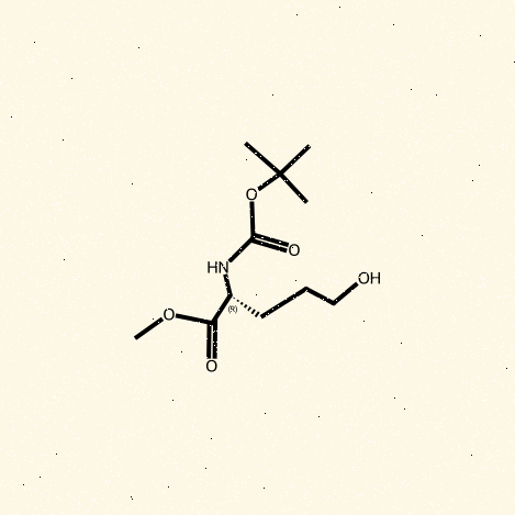 COC(=O)[C@@H](CCCO)NC(=O)OC(C)(C)C